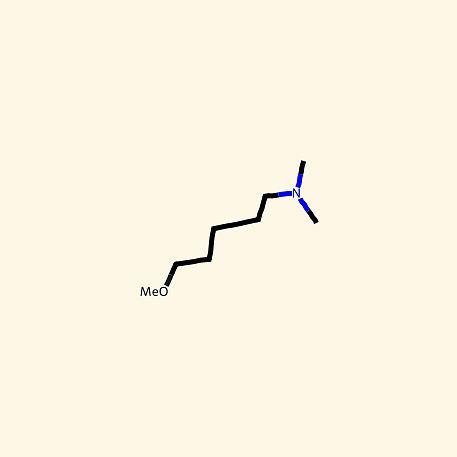 COCCCCCN(C)C